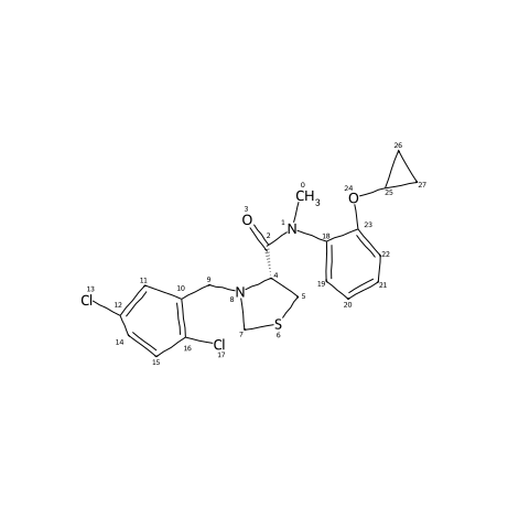 CN(C(=O)[C@@H]1CSCN1Cc1cc(Cl)ccc1Cl)c1ccccc1OC1CC1